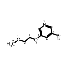 COCCOc1cncc(Br)c1